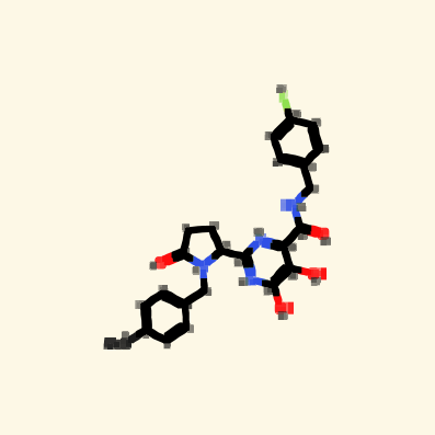 COc1ccc(CN2C(=O)CCC2c2nc(O)c(O)c(C(=O)NCc3ccc(F)cc3)n2)cc1